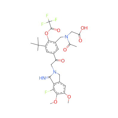 COc1cc2c(c(F)c1OC)C(=N)N(CC(=O)c1cc(CN(CC(=O)O)C(C)=O)c(OC(=O)C(F)(F)F)c(C(C)(C)C)c1)C2